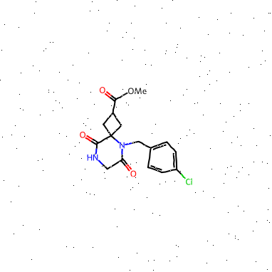 COC(=O)C1CC2(C1)C(=O)NCC(=O)N2Cc1ccc(Cl)cc1